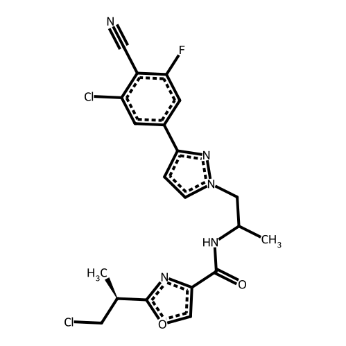 CC(Cn1ccc(-c2cc(F)c(C#N)c(Cl)c2)n1)NC(=O)c1coc([C@H](C)CCl)n1